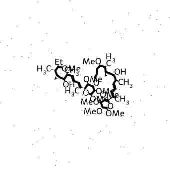 CC[C@H](OC)[C@@H](C)[C@@H]1C[C@H]1[C@H](O)[C@@H](C)/C=C/C=C(\C)[C@H]1O[C@H](OC)[C@H](OC)[C@@H](OCCC[C@H](OC)[C@@H](C)[C@@H]2C[C@H]2[C@H](O)[C@@H](C)/C=C/C=C(\C)[C@H]2O[C@@H](OC)[C@H](OC)[C@@H](OC)[C@@H]2OC)[C@@H]1OC